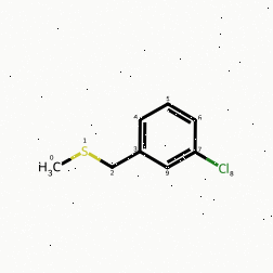 CSCc1cccc(Cl)c1